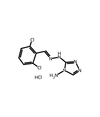 Cl.Nn1cnnc1N/N=C/c1c(Cl)cccc1Cl